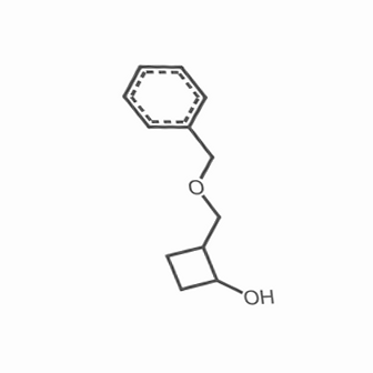 OC1CCC1COCc1ccccc1